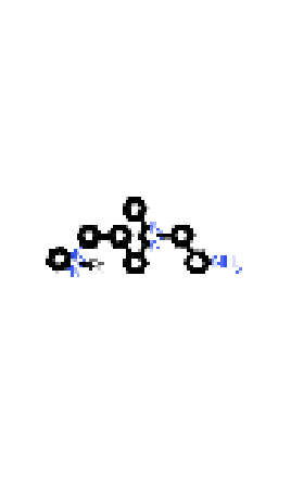 CCc1nc2ccccc2n1-c1cccc(-c2cccc(-c3ccccc3-c3cc(-c4ccccc4)nc(-c4cccc(C5C=C(N)C=CC5)c4)n3)c2)c1